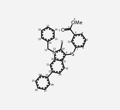 COC(=O)c1cccc(Sc2c(C)n(Cc3ccccc3)c3cc(-c4ccccc4)ccc23)c1